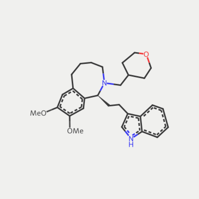 COc1cc2c(cc1OC)[C@H](CCc1c[nH]c3ccccc13)N(CC1CCOCC1)CCCC2